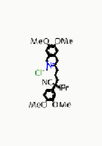 COc1ccc(C(C#N)(CCCC2Cc3cc(OC)c(OC)cc3C=[N+]2C)C(C)C)cc1OC.[Cl-]